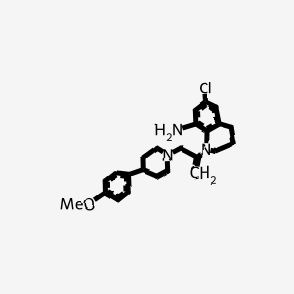 C=C(CN1CCC(c2ccc(OC)cc2)CC1)N1CCCc2cc(Cl)cc(N)c21